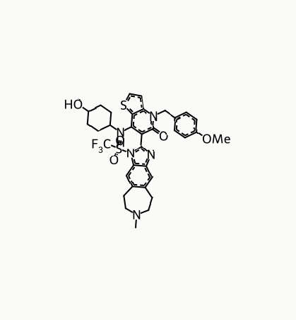 COc1ccc(Cn2c(=O)c(-c3nc4cc5c(cc4n3S(=O)(=O)C(F)(F)F)CCN(C)CC5)c(NC3CCC(O)CC3)c3sccc32)cc1